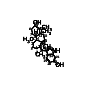 C[C@@H]1CC[C@@]2(C)[C@@H]3CC[C@H](O)[C@H](C)[C@@]3(C)CC[C@@H]2[C@@]1(C)Cc1c[nH]c2cc(O)ccc12